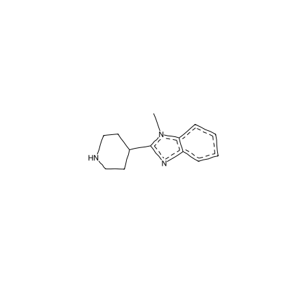 Cn1c(C2CCNCC2)nc2ccccc21